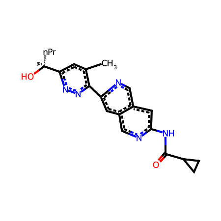 CCC[C@@H](O)c1cc(C)c(-c2cc3cnc(NC(=O)C4CC4)cc3cn2)nn1